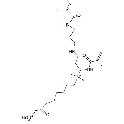 C=C(C)C(=O)NCCCNCCC(NC(=O)C(=C)C)[N+](C)(C)CCCCCCC(=O)CC(=O)O